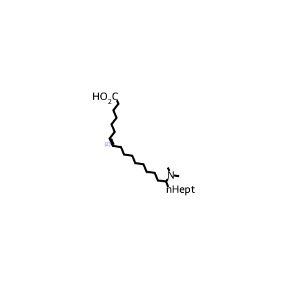 CCCCCCCC(CCCCCCCC/C=C\CCCCCC(=O)O)N(C)C